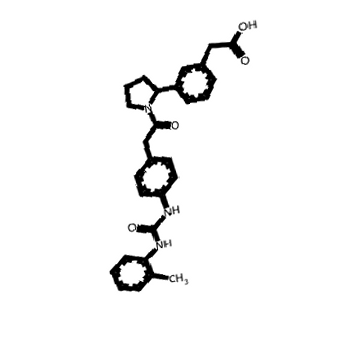 Cc1ccccc1NC(=O)Nc1ccc(CC(=O)N2CCCC2c2cccc(CC(=O)O)c2)cc1